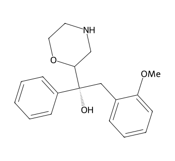 COc1ccccc1C[C@@](O)(c1ccccc1)C1CNCCO1